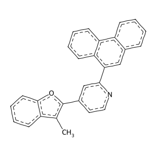 Cc1c(-c2ccnc(-c3cc4ccccc4c4ccccc34)c2)oc2ccccc12